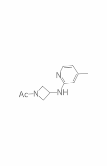 CC(=O)N1CC(Nc2cc(C)ccn2)C1